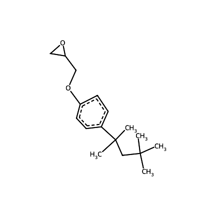 CC(C)(C)CC(C)(C)c1ccc(OCC2CO2)cc1